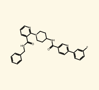 O=C(NC1CCN(c2ncccc2C(=O)NCc2ccccc2)CC1)c1ccc(-c2cccc(F)c2)nc1